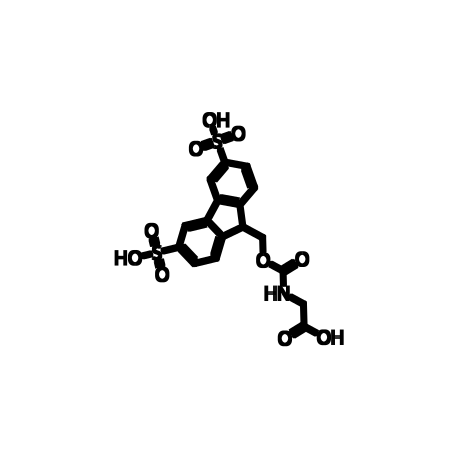 O=C(O)CNC(=O)OCC1c2ccc(S(=O)(=O)O)cc2-c2cc(S(=O)(=O)O)ccc21